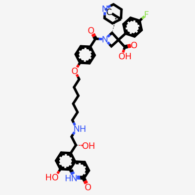 O=C(c1ccc(OCCCCCCNC[C@H](O)c2ccc(O)c3[nH]c(=O)ccc23)cc1)N1CC(C(=O)O)(c2ccc(F)cc2)[C@H]1C1CN2CCC1CC2